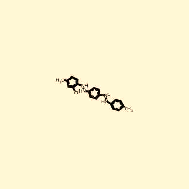 Cc1ccc(NNc2ccc(NNc3ccc(C)cc3Cl)cc2)cc1